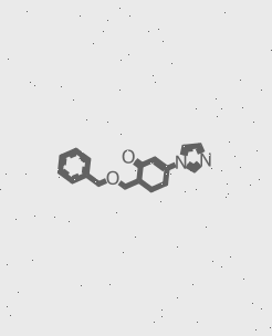 O=C1C=C(n2ccnc2)CCC1COCc1ccccc1